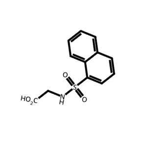 O=C(O)CNS(=O)(=O)c1cccc2ccccc12